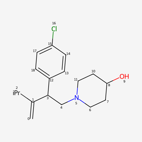 C=C(C(C)C)C(CN1CCC(O)CC1)c1ccc(Cl)cc1